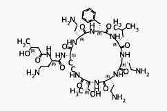 CC(C)C[C@H]1NC(=O)[C@@H](Cc2ccccc2)NC(=O)[C@@H](CCN)NC(=O)[C@@H](NC(=O)[C@@H](CCN)NC(=O)C[C@@H](C)O)CCNC(=O)[C@@H]([C@@H](C)O)NC(=O)[C@@H](CCN)NC(=O)[C@@H](CCN)NC1=O